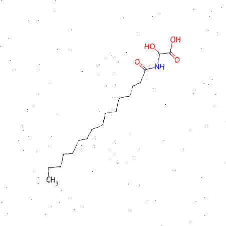 CCCCCCCCCCCCCCCC(=O)NC(O)C(=O)O